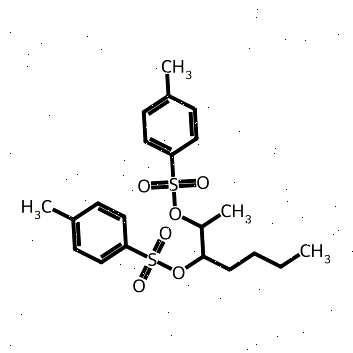 CCCCC(OS(=O)(=O)c1ccc(C)cc1)C(C)OS(=O)(=O)c1ccc(C)cc1